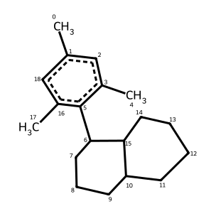 Cc1cc(C)c(C2CCCC3CCCCC32)c(C)c1